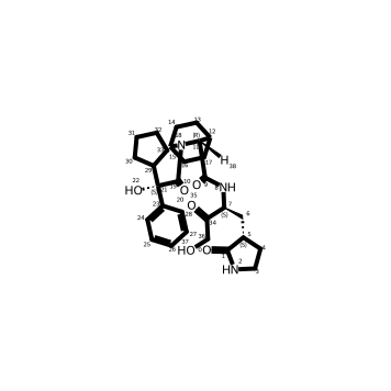 O=C1NCC[C@H]1C[C@H](NC(=O)[C@H]1C2CCC(CC2)N1C(=O)[C@@](O)(c1ccccc1)C1CCCC1)C(=O)CO